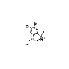 O=S1(=O)NCN(CCF)c2cc(Cl)c(Br)cc21